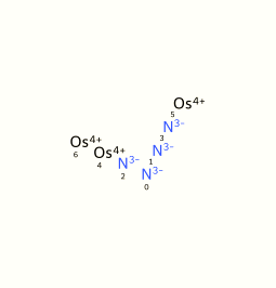 [N-3].[N-3].[N-3].[N-3].[Os+4].[Os+4].[Os+4]